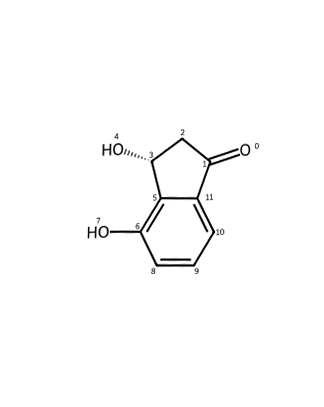 O=C1C[C@@H](O)c2c(O)cccc21